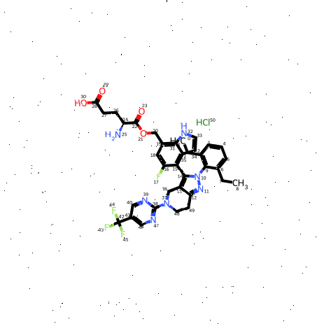 CCc1cccc(CC)c1-n1nc2c(c1-c1c(F)cc(COC(=O)[C@@H](N)CCC(=O)O)c3[nH]ccc13)CN(c1ncc(C(F)(F)F)cn1)CC2.Cl